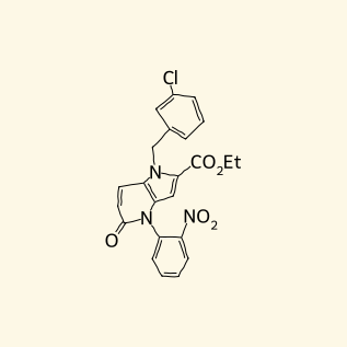 CCOC(=O)c1cc2c(ccc(=O)n2-c2ccccc2[N+](=O)[O-])n1Cc1cccc(Cl)c1